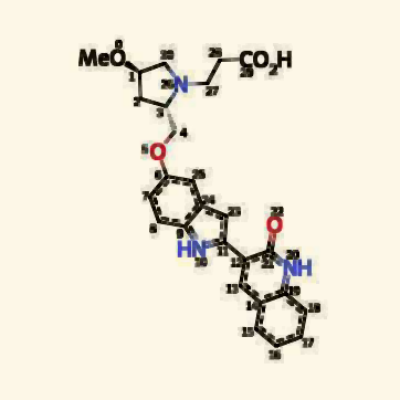 CO[C@@H]1C[C@@H](COc2ccc3[nH]c(-c4cc5ccccc5[nH]c4=O)cc3c2)N(CCC(=O)O)C1